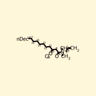 C=CC[N+](C)(C)C(=O)CC(=O)CCCCCCCCCCCCCCCCC.[Cl-]